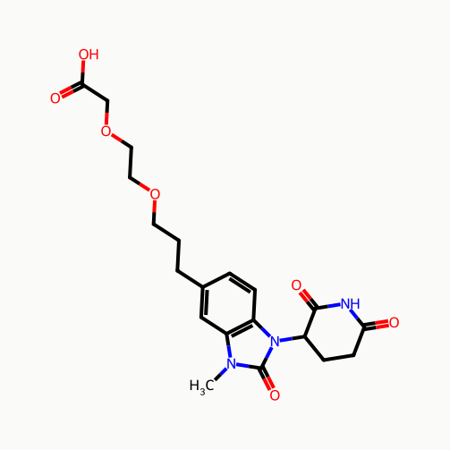 Cn1c(=O)n(C2CCC(=O)NC2=O)c2ccc(CCCOCCOCC(=O)O)cc21